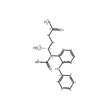 CCCC(=O)N(c1ccccc1Oc1ccccc1)[C@@H](CCC(N)=O)C(=O)O